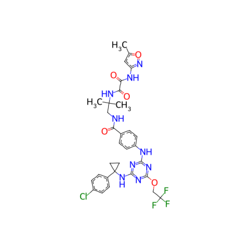 Cc1cc(NC(=O)C(=O)NC(C)(C)CNC(=O)c2ccc(Nc3nc(NC4(c5ccc(Cl)cc5)CC4)nc(OCC(F)(F)F)n3)cc2)no1